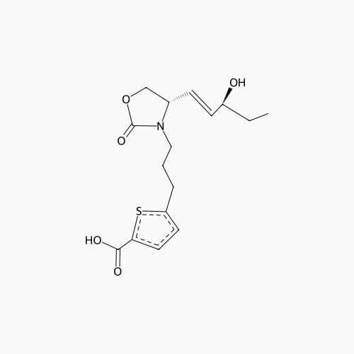 CC[C@H](O)/C=C/[C@H]1COC(=O)N1CCCc1ccc(C(=O)O)s1